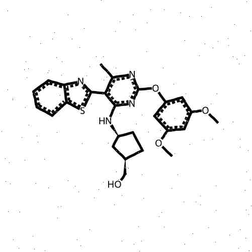 COc1cc(OC)cc(Oc2nc(C)c(-c3nc4ccccc4s3)c(N[C@H]3CC[C@@H](CO)C3)n2)c1